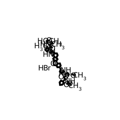 Br.COC[C@H]1C[C@@H](c2ncc(-c3ccc4c(c3)COc3cc5c(ccc6nc([C@@H]7CC[C@H](C)N7C(=O)[C@@H](NC(=O)O)C(C)C)[nH]c65)cc3-4)[nH]2)N(C(=O)[C@H](NC(=O)OC)c2ccccc2)C1